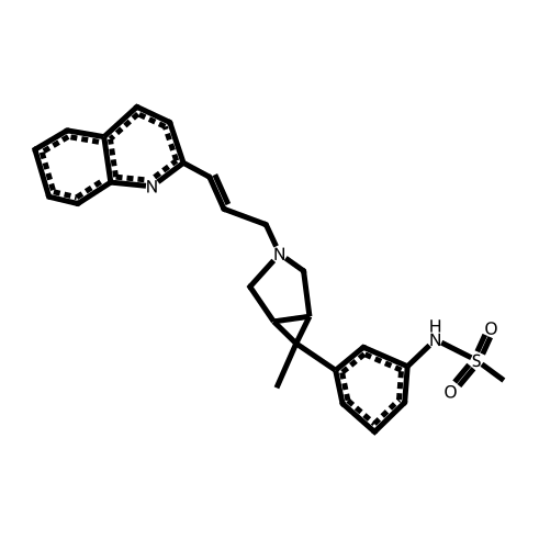 CC1(c2cccc(NS(C)(=O)=O)c2)C2CN(CC=Cc3ccc4ccccc4n3)CC21